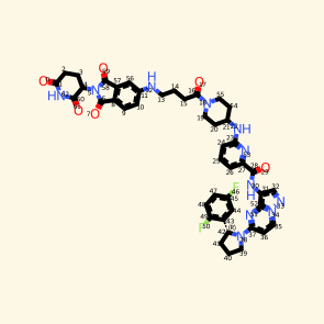 O=C1CCC(N2C(=O)c3ccc(NCCCC(=O)N4CCC(Nc5cccc(C(=O)Nc6cnn7ccc(N8CCC[C@@H]8c8cc(F)ccc8F)nc67)n5)CC4)cc3C2=O)C(=O)N1